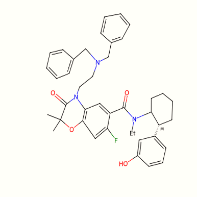 CCN(C(=O)c1cc2c(cc1F)OC(C)(C)C(=O)N2CCN(Cc1ccccc1)Cc1ccccc1)C1CCCC[C@@H]1c1cccc(O)c1